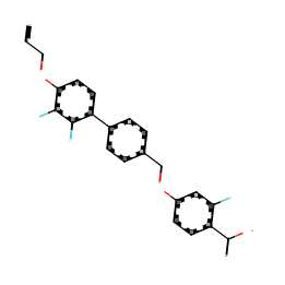 C=CCOc1ccc(-c2ccc(COc3ccc(C(C)O)c(F)c3)cc2)c(F)c1F